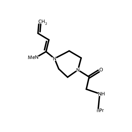 C=C/C=C(\NC)N1CCN(C(=O)CNCCC)CC1